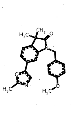 COc1ccc(CN2C(=O)C(C)(C)c3ccc(-c4cnc(C)o4)cc32)cc1